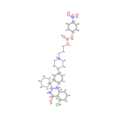 O=C(OCCCN1CCC(c2ccc3c(c2)C2(CCCCC2)c2nc(=O)c4c(Cl)cccc4n2-3)CC1)Oc1ccc([N+](=O)[O-])cc1